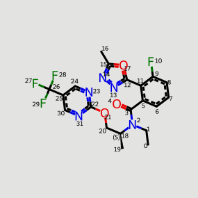 CCN(C(=O)c1cccc(F)c1-c1nnc(C)o1)[C@@H](C)COc1ncc(C(F)(F)F)cn1